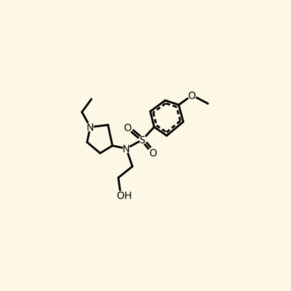 CCN1CCC(N(CCO)S(=O)(=O)c2ccc(OC)cc2)C1